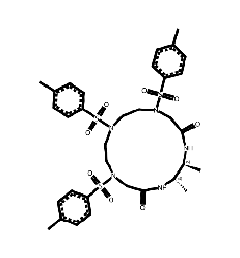 Cc1ccc(S(=O)(=O)N2CCN(S(=O)(=O)c3ccc(C)cc3)CC(=O)N[C@@H](C)[C@H](C)NC(=O)CN(S(=O)(=O)c3ccc(C)cc3)CC2)cc1